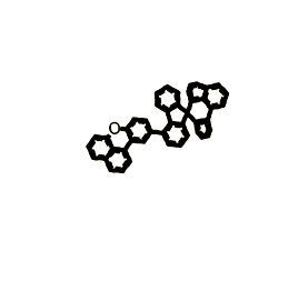 c1ccc2c(c1)-c1c(-c3ccc4c(c3)-c3cccc5cccc(c35)O4)cccc1C21c2ccccc2-c2cccc3cccc1c23